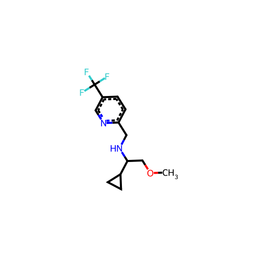 COCC(NCc1ccc(C(F)(F)F)cn1)C1CC1